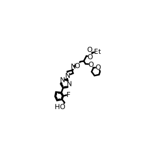 CCC(=O)OCC(CON=C1CN(c2ncc(-c3cccc(CO)c3F)cn2)C1)COC1CCCCO1